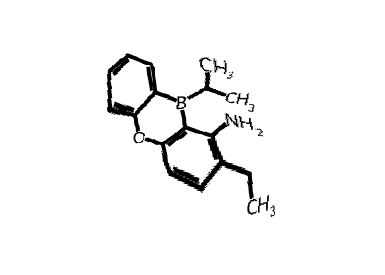 CCc1ccc2c(c1N)B(C(C)C)c1ccccc1O2